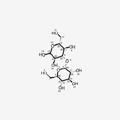 OC[C@H]1O[C@H](O[C@H]2[C@H](O)[C@@H](CO)OC(O)[C@@H]2O)[C@H](O)[C@@H](O)[C@@H]1O